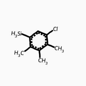 Cc1c([SiH3])cc(Cl)c(C)c1C